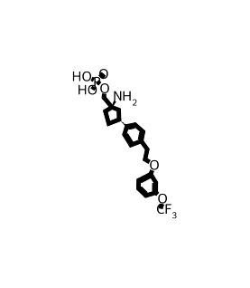 N[C@]1(COP(=O)(O)O)CC[C@@H](c2ccc(CCOc3cccc(OC(F)(F)F)c3)cc2)C1